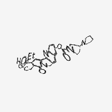 CC[C@@]1(O)C(=O)CCc2c1cc1n(c2=O)Cc2cc3cc(OC(=O)N4CCC(N5CCCCC5)CC4)ccc3nc2-1